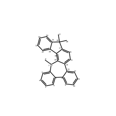 CN1c2ccccc2-c2ccccc2-c2ccc3c(c21)-c1ccccc1C3(C)C